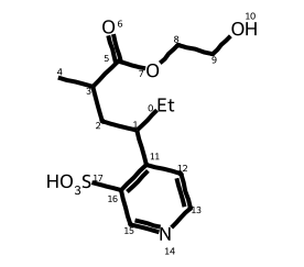 CCC(CC(C)C(=O)OCCO)c1ccncc1S(=O)(=O)O